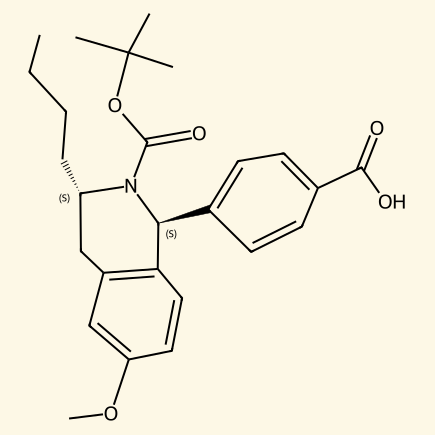 CCCC[C@H]1Cc2cc(OC)ccc2[C@H](c2ccc(C(=O)O)cc2)N1C(=O)OC(C)(C)C